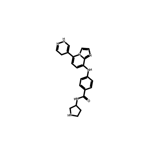 O=C(NC1CCNC1)c1ccc(Nc2ccc(C3=CNN=CC3)n3ccnc23)cc1